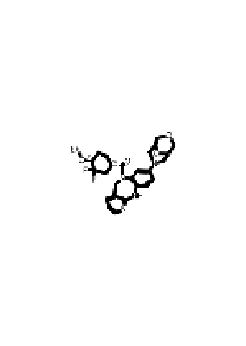 CCO[C@H]1CC[C@H](C(=O)N2Cc3cccnc3Nc3ccc(N4CC5COCC(C4)O5)cc32)CC1(F)F